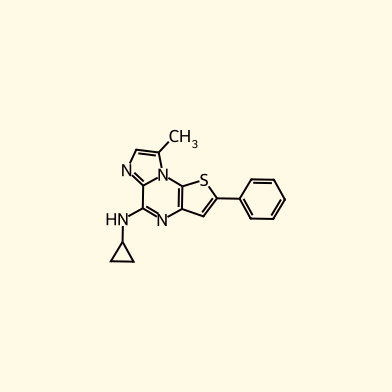 Cc1cnc2c(NC3CC3)nc3cc(-c4ccccc4)sc3n12